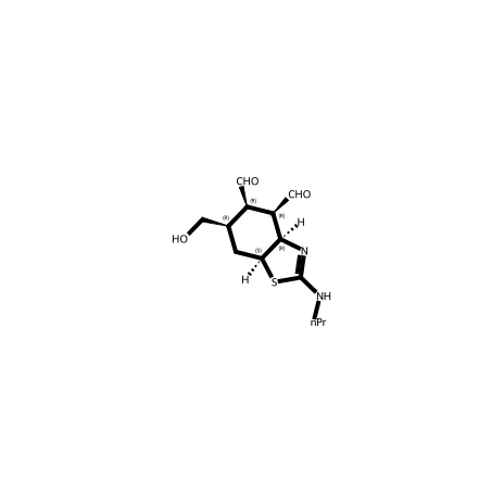 CCCNC1=N[C@@H]2[C@H](C=O)[C@H](C=O)[C@H](CO)C[C@@H]2S1